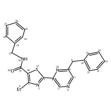 CCc1nc(-c2cncc(Cc3ccccc3)n2)sc1C(=O)NCc1ccccc1